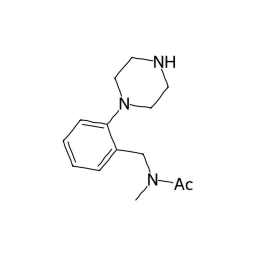 CC(=O)N(C)Cc1ccccc1N1CCNCC1